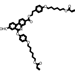 C=CC(=O)OCCCCCCOc1ccc(CCOC(=O)c2ccc3c(c2)nc(Oc2ccc(OCCCCCCOC(=O)C=C)cc2)c2cc(C=O)ccc23)cc1